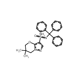 CC1(C)COc2c(S(N)(=O)=NC(c3ccccc3)(c3ccccc3)c3ccccc3)cnn2C1